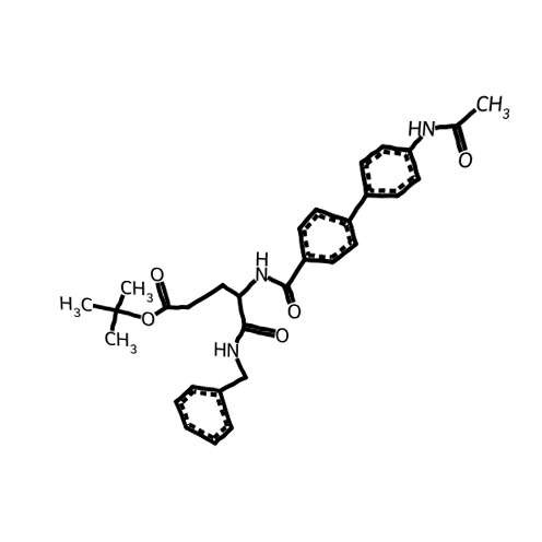 CC(=O)Nc1ccc(-c2ccc(C(=O)NC(CCC(=O)OC(C)(C)C)C(=O)NCc3ccccc3)cc2)cc1